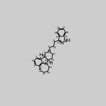 c1cc2c3c(c1)[C@@H]1CN(CCCc4n[nH]c5ccccc45)CC[C@@H]1N3CCCS2